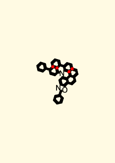 c1ccc(-c2ccc(N(c3ccccc3-c3ccccc3)c3cc4nc(-c5ccccc5)oc4c4ccc5ccccc5c34)cc2)cc1